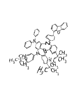 CC(C)(C)c1ccc(N2c3ccc(C(C)(C)C)cc3B3c4cc(C(C)(C)C)ccc4N(c4ccc(-c5cccc6c5oc5ccccc56)cc4)c4cc(N(c5ccccc5)c5ccccc5)cc2c43)cc1